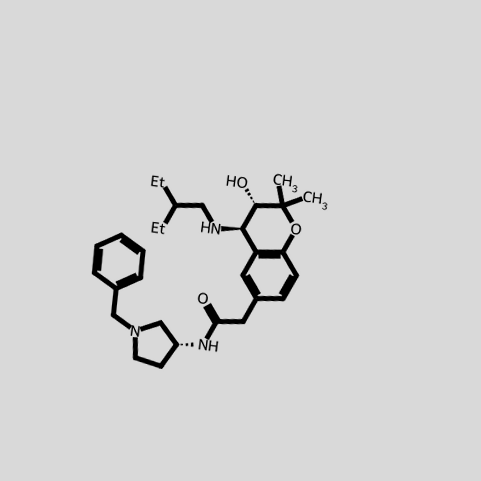 CCC(CC)CN[C@@H]1c2cc(CC(=O)N[C@@H]3CCN(Cc4ccccc4)C3)ccc2OC(C)(C)[C@H]1O